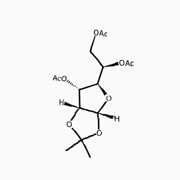 CC(=O)OC[C@@H](OC(C)=O)[C@H]1O[C@@H]2OC(C)(C)O[C@@H]2[C@@H]1OC(C)=O